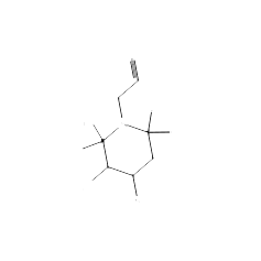 C=CCN1C(C)(CC)CC(N)C(C)C1(C)CC